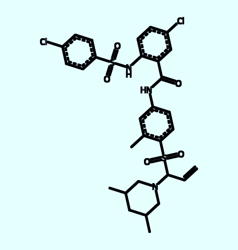 C=CC(N1CC(C)CC(C)C1)S(=O)(=O)c1ccc(NC(=O)c2cc(Cl)ccc2NS(=O)(=O)c2ccc(Cl)cc2)cc1C